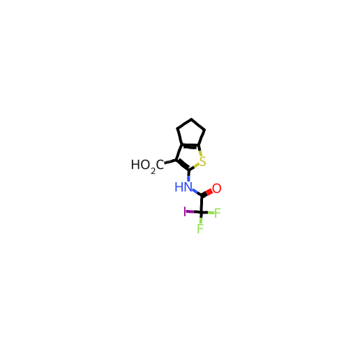 O=C(O)c1c(NC(=O)C(F)(F)I)sc2c1CCC2